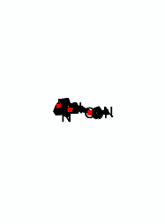 CC(=O)N1CCC[C@H]1C(C#N)(c1ccccc1)C1CCN(CCCOc2ccc(C#N)cc2)CC1